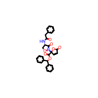 O=C(Cc1ccccc1)N[C@H]1CON(C2(C(=O)OC(c3ccccc3)c3ccccc3)C=CC(=O)O2)C1=O